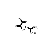 CCC(N)C(=O)O.O=C(O)C(=O)O